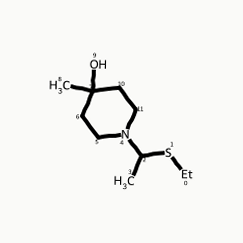 CCSC(C)N1CCC(C)(O)CC1